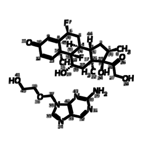 C[C@@H]1C[C@H]2[C@@H]3C[C@H](F)C4=CC(=O)C=C[C@]4(C)[C@@]3(F)[C@@H](O)C[C@]2(C)[C@@]1(O)C(=O)CO.Nc1ncc2ncn(COCCO)c2n1